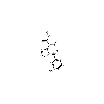 CC=C(C(=O)OC)n1cccc1C(=O)c1cccc(Cl)c1